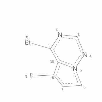 CCc1ncnn2ccc(F)c12